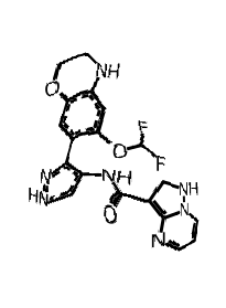 O=C(Nc1c[nH]nc1-c1cc2c(cc1OC(F)F)NCCO2)C1=C2N=CC=CN2NC1